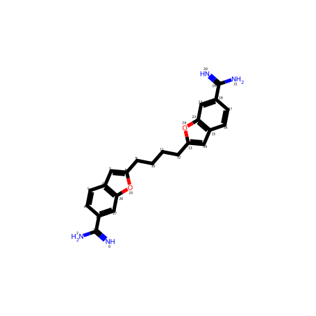 N=C(N)c1ccc2cc(CCCCc3cc4ccc(C(=N)N)cc4o3)oc2c1